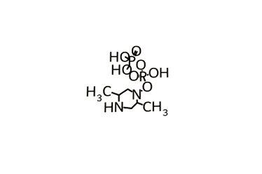 CC1CN(OP(=O)(O)OP(=O)(O)O)C(C)CN1